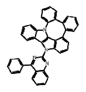 c1ccc(-c2nc(-n3c4cccc5c6ccccc6c6ccccc6n6c7ccccc7c3c6c54)nc3ccccc23)cc1